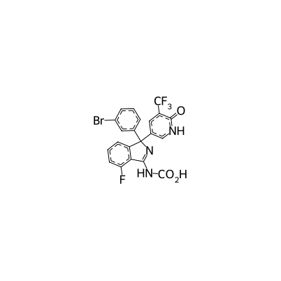 O=C(O)NC1=NC(c2cccc(Br)c2)(c2c[nH]c(=O)c(C(F)(F)F)c2)c2cccc(F)c21